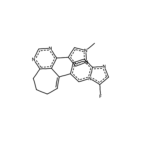 Cn1cc(-c2ncnc3c2C(c2ccc4ncc(F)n4c2)=CCCC3)cn1